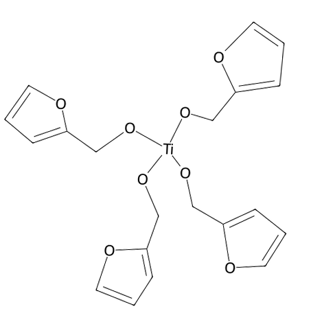 c1coc(C[O][Ti]([O]Cc2ccco2)([O]Cc2ccco2)[O]Cc2ccco2)c1